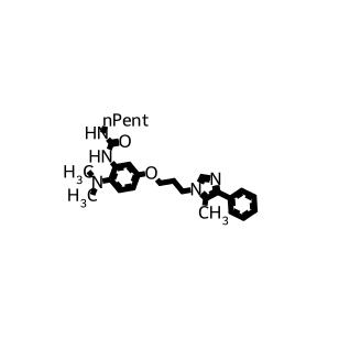 CCCCCNC(=O)Nc1cc(OCCCn2cnc(-c3ccccc3)c2C)ccc1N(C)C